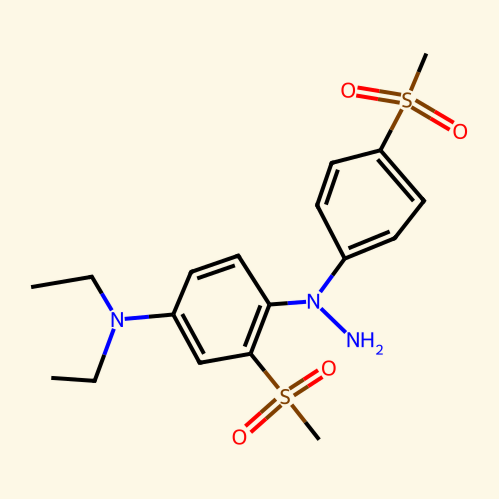 CCN(CC)c1ccc(N(N)c2ccc(S(C)(=O)=O)cc2)c(S(C)(=O)=O)c1